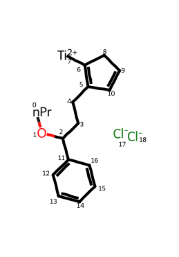 CCCOC(CCC1=[C]([Ti+2])CC=C1)c1ccccc1.[Cl-].[Cl-]